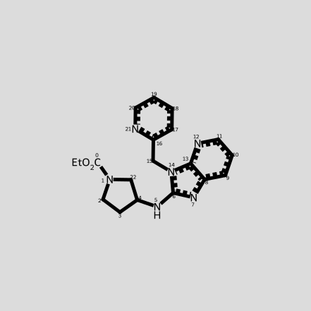 CCOC(=O)N1CCC(Nc2nc3cccnc3n2Cc2ccccn2)C1